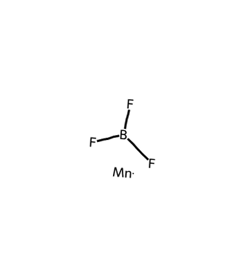 FB(F)F.[Mn]